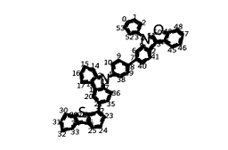 c1ccc(-n2c3cc(-c4ccc(-n5c6ccccc6c6cc(-c7cccc8c7sc7ccccc78)ccc65)cc4)ccc3c3c4ccccc4oc32)cc1